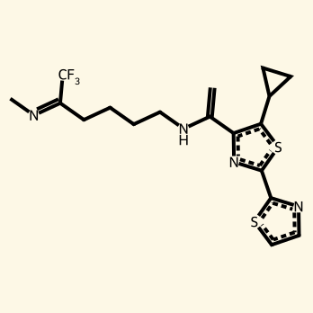 C=C(NCCCC/C(=N/C)C(F)(F)F)c1nc(-c2nccs2)sc1C1CC1